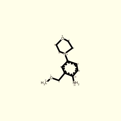 COCc1cc(N2CCOCC2)ccc1N